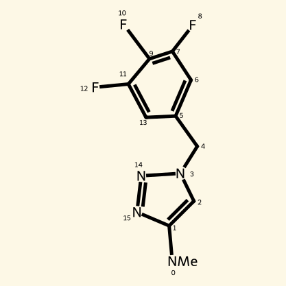 CNc1cn(Cc2cc(F)c(F)c(F)c2)nn1